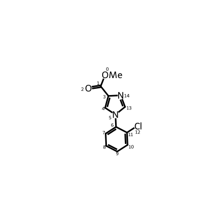 COC(=O)c1cn(-c2ccccc2Cl)cn1